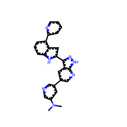 CN(C)c1cncc(-c2cnc3[nH]nc(-c4cc5c(-c6ccccn6)cccc5[nH]4)c3c2)c1